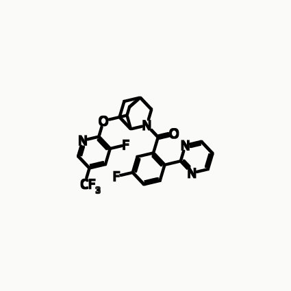 O=C(c1cc(F)ccc1-c1ncccn1)N1CC2CCC1C(Oc1ncc(C(F)(F)F)cc1F)C2